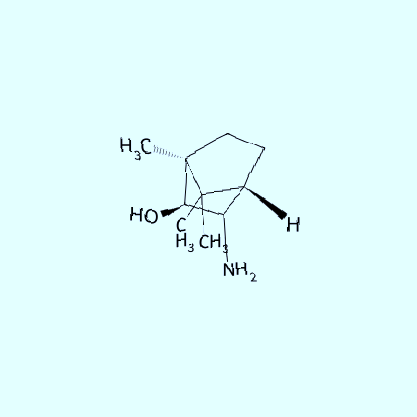 CC1(C)[C@@H]2CC[C@]1(C)[C@H](O)C2N